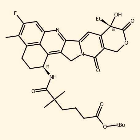 CC[C@@]1(O)C(=O)OCc2c1cc1n(c2=O)Cc2c-1nc1cc(F)c(C)c3c1c2[C@@H](NC(=O)C(C)(C)CCCC(=O)OC(C)(C)C)CC3